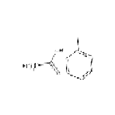 C=C(O)C(=O)OCC.Cc1ccccc1